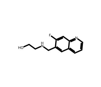 OCCNCc1cc2cccnc2cc1F